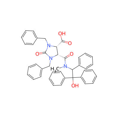 CN(C(=O)[C@H]1[C@@H](C(=O)O)N(Cc2ccccc2)C(=O)N1Cc1ccccc1)C(c1ccccc1)C(O)(c1ccccc1)c1ccccc1